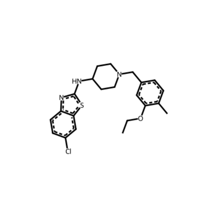 CCOc1cc(CN2CCC(Nc3nc4ccc(Cl)cc4s3)CC2)ccc1C